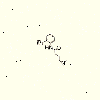 CC(C)c1ccccc1NC(=O)CCCN(C)C